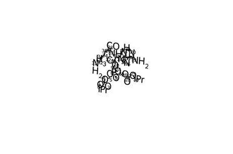 CC(C)OC(=O)OCOP(=O)(CO[C@H](C)Cn1cnc2c(N)ncnc21)OCOC(=O)OC(C)C.NCCCCC(N)C(=O)O